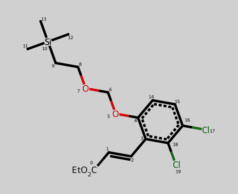 CCOC(=O)/C=C/c1c(OCOCC[Si](C)(C)C)ccc(Cl)c1Cl